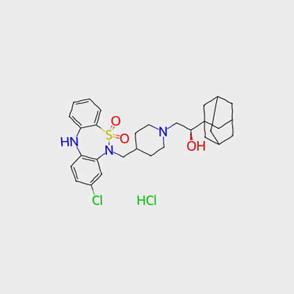 Cl.O=S1(=O)c2ccccc2Nc2ccc(Cl)cc2N1CC1CCN(C[C@H](O)C23CC4CC(CC(C4)C2)C3)CC1